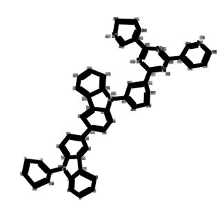 c1ccc(-n2c3ccccc3c3cc(-c4ccc5c(c4)c4ccccc4n5-c4cccc(-c5nc(-c6cccnc6)nc(-c6cccnc6)n5)c4)ccc32)cc1